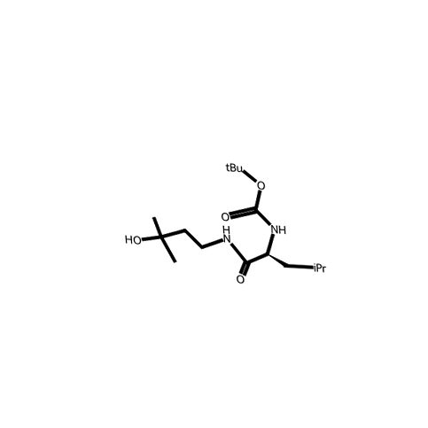 CC(C)C[C@H](NC(=O)OC(C)(C)C)C(=O)NCCC(C)(C)O